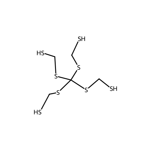 SCSC(SCS)(SCS)SCS